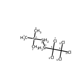 C[Si](C)(C)[SiH2][SiH2]C(Cl)(Cl)C(Cl)(Cl)Cl